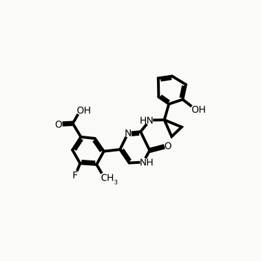 Cc1c(F)cc(C(=O)O)cc1-c1c[nH]c(=O)c(NC2(c3ccccc3O)CC2)n1